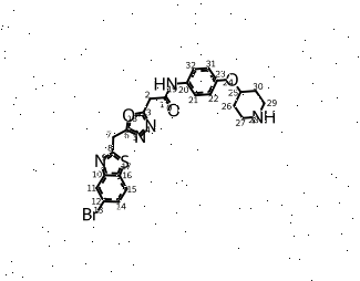 O=C(Cc1nnc(Cc2nc3cc(Br)ccc3s2)o1)Nc1ccc(OC2CCNCC2)cc1